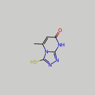 Cc1cc(=O)[nH]c2nnc(S)n12